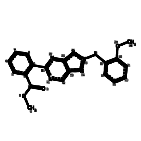 COC(=O)c1ccccc1-c1ncc2nn(Cc3ccccc3OC)cc2n1